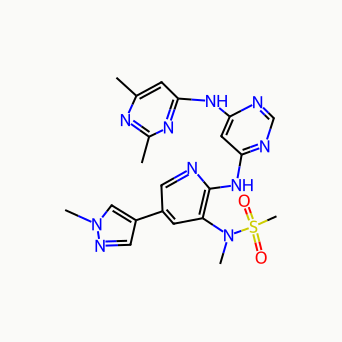 Cc1cc(Nc2cc(Nc3ncc(-c4cnn(C)c4)cc3N(C)S(C)(=O)=O)ncn2)nc(C)n1